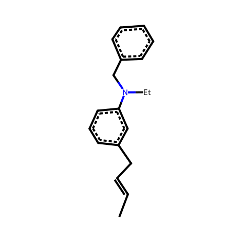 CC=CCc1cccc(N(CC)Cc2ccccc2)c1